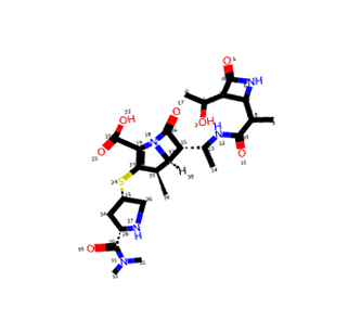 CC(O)C1C(=O)NC1C(C)C(=O)NC(C)[C@H]1C(=O)N2C(C(=O)O)=C(S[C@@H]3CN[C@H](C(=O)N(C)C)C3)[C@H](C)[C@H]12